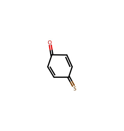 O=C1C=CC(=S)C=C1